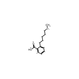 COCCCCCc1ccccc1C(=O)O